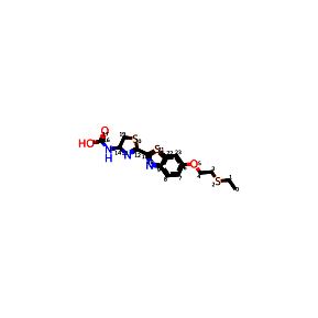 CCSCCOc1ccc2nc(C3=NC(NC(=O)O)CS3)sc2c1